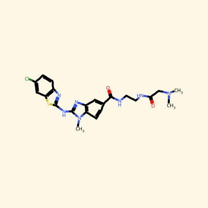 CN(C)CC(=O)NCCNC(=O)c1ccc2c(c1)nc(Nc1nc3ccc(Cl)cc3s1)n2C